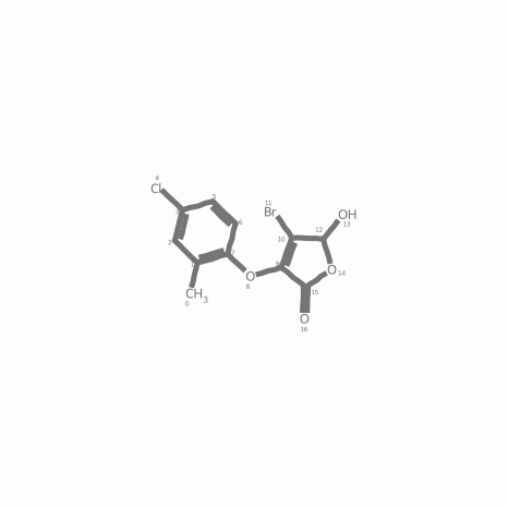 Cc1cc(Cl)ccc1OC1=C(Br)C(O)OC1=O